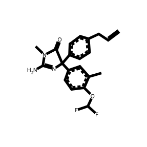 C=CCc1ccc(C2(c3ccc(OC(F)F)c(C)c3)N=C(N)N(C)C2=O)cc1